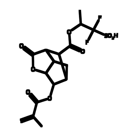 C=C(C)C(=O)OC1C2CC3C1OC(=O)C3C2C(=O)OC(C)C(F)(F)S(=O)(=O)O